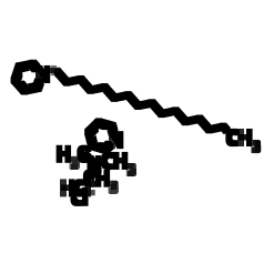 CCCCCCCCCCCCCCCC[n+]1ccccc1.CN(C)C.Cl.[Cl-].c1ccncc1